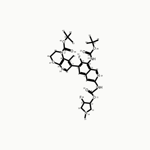 Cc1c(-c2cc3cc(NC(=O)OC4CN(C)CC4F)ncc3c(NC(=O)OC(C)(C)C)c2F)cnc2c1N(C(=O)OC(C)(C)C)CCO2